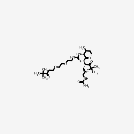 CC(CI)[C@H](NC(=S)NCCOCCOCCC(=O)C(C)(C)C)C(=O)N[C@@H](CCCNC(N)=O)C(=O)C(C)(C)C